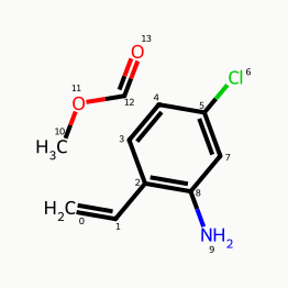 C=Cc1ccc(Cl)cc1N.COC=O